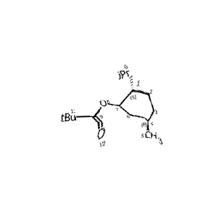 CC(C)[C@@H]1CC[C@@H](C)CC1OC(=O)C(C)(C)C